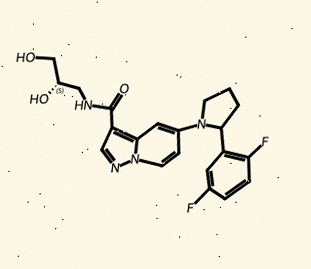 O=C(NC[C@H](O)CO)c1cnn2ccc(N3CCCC3c3cc(F)ccc3F)cc12